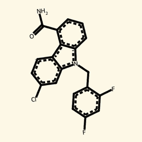 NC(=O)c1cccc2c1c1[c]cc(Cl)cc1n2Cc1ccc(F)cc1F